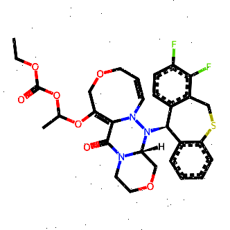 CCOC(=O)OC(C)O/C1=C2\C(=O)N3CCOC[C@H]3N([C@@H]3c4ccccc4SCc4c3ccc(F)c4F)N2/C=C\COC1